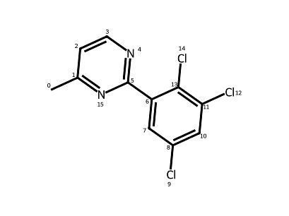 Cc1ccnc(-c2cc(Cl)cc(Cl)c2Cl)n1